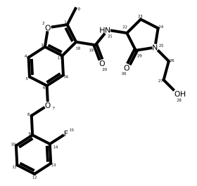 Cc1oc2ccc(OCc3ccccc3F)cc2c1C(=O)NC1CCN(CCO)C1=O